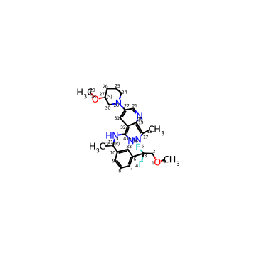 COCC(F)(F)c1cccc([C@@H](C)Nc2nnc(C)c3ncc(N4CCC[C@H](OC)C4)cc23)c1